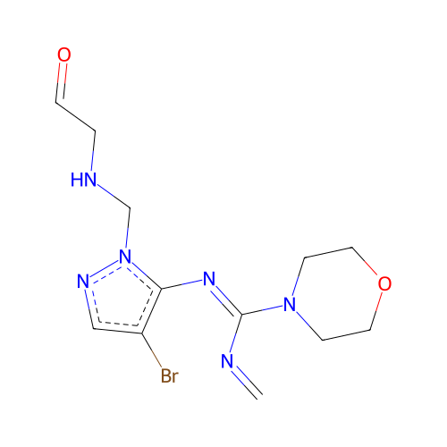 C=N/C(=N\c1c(Br)cnn1CNCC=O)N1CCOCC1